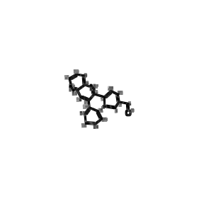 O=Cc1ccc(-c2nc3cccnc3cc2-c2ccccc2)cc1